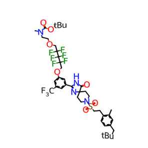 Cc1cc(CC(C)(C)C)ccc1CCS(=O)(=O)N1CCC2(CC1)N=C(c1cc(OCC(F)(F)C(F)(F)C(F)(F)COCCN(C)C(=O)OC(C)(C)C)cc(C(F)(F)F)c1)NC2=O